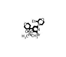 CCC1COCCN1c1cc(C2(S(=O)(=O)N(C)C)CCOCC2)cc(Br)n1